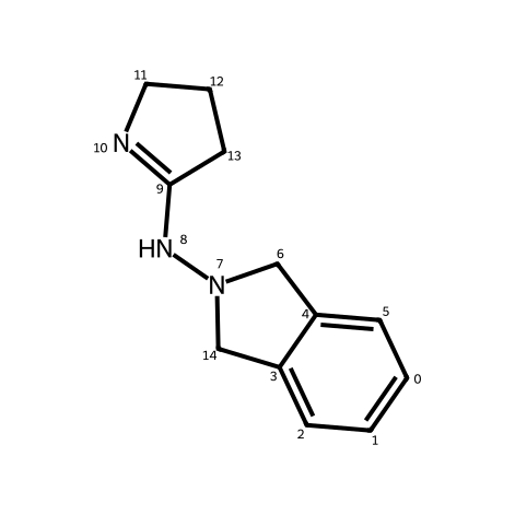 c1ccc2c(c1)CN(NC1=NCCC1)C2